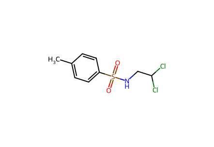 Cc1ccc(S(=O)(=O)NCC(Cl)Cl)cc1